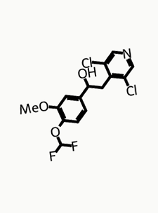 COc1cc(C(O)Cc2c(Cl)cncc2Cl)ccc1OC(F)F